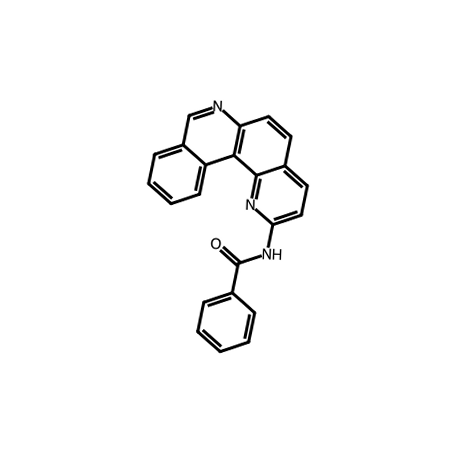 O=C(Nc1ccc2ccc3ncc4ccccc4c3c2n1)c1ccccc1